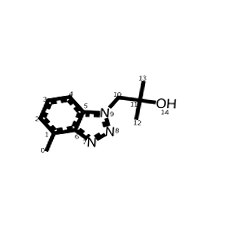 Cc1cccc2c1nnn2CC(C)(C)O